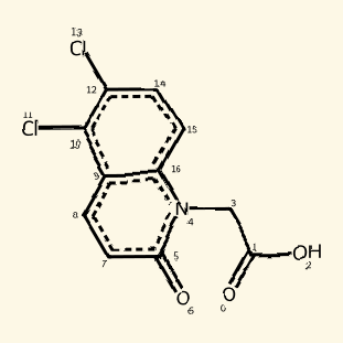 O=C(O)Cn1c(=O)ccc2c(Cl)c(Cl)ccc21